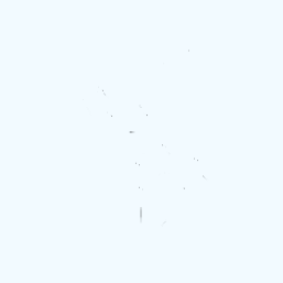 CCc1cn2cc(-c3nc(N)c4c(n3)NC(=O)C4(C)c3ccc(F)cc3)nc(CCC(F)(F)C(F)(F)F)c2n1